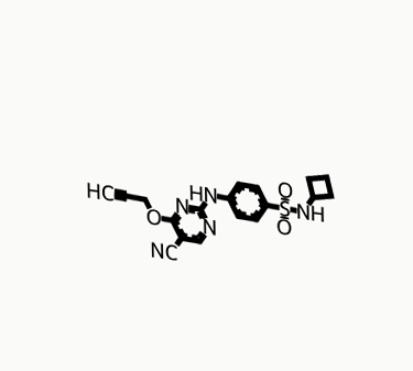 C#CCOc1nc(Nc2ccc(S(=O)(=O)NC3CCC3)cc2)ncc1C#N